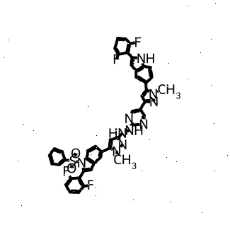 Cn1nc(NNc2ncc(-c3cc(-c4ccc5[nH]c(-c6c(F)cccc6F)cc5c4)n(C)n3)cn2)cc1-c1ccc2c(c1)cc(-c1c(F)cccc1F)n2S(=O)(=O)c1ccccc1